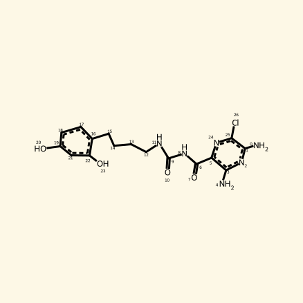 Nc1nc(N)c(C(=O)NC(=O)NCCCCc2ccc(O)cc2O)nc1Cl